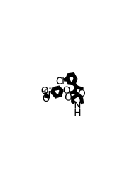 O=C(Oc1ccc([N+](=O)[O-])cc1)C1C(c2cccc(Cl)c2)COC12CCNCC2